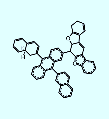 C1=CC2=CC=C(c3c4ccccc4c(-c4ccc5ccccc5c4)c4cc(C5c6oc7ccccc7c6C=C6C7=C(CCC=C7)OC65)ccc34)C[C@H]2C=C1